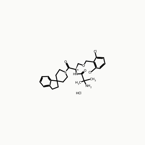 CC(C)(N)C(=O)N[C@H](COCc1c(Cl)cccc1Cl)C(=O)N1CCC2(CCc3ccccc32)CC1.Cl